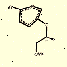 COC[C@H](C)Oc1ccc(C(C)C)nc1